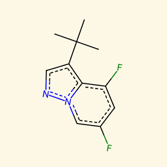 CC(C)(C)c1cnn2cc(F)cc(F)c12